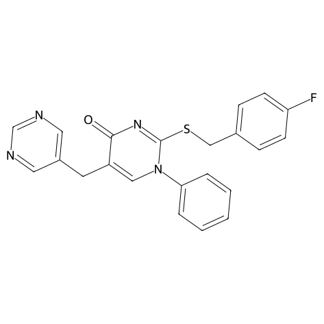 O=c1nc(SCc2ccc(F)cc2)n(-c2ccccc2)cc1Cc1cncnc1